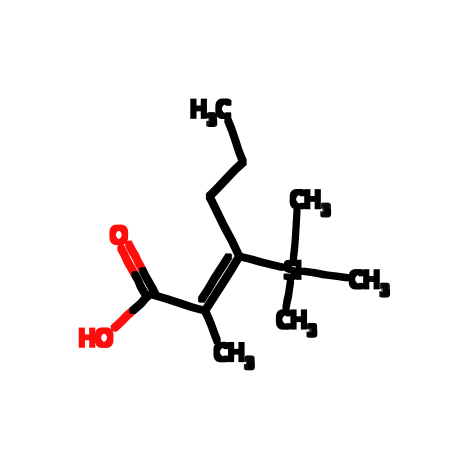 CCCC(=C(C)C(=O)O)[Si](C)(C)C